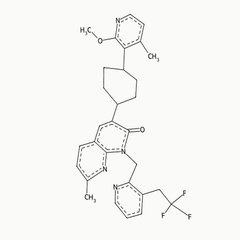 COc1nccc(C)c1C1CCC(c2cc3ccc(C)nc3n(Cc3ncccc3CC(F)(F)F)c2=O)CC1